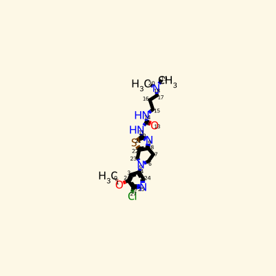 COc1cc(N2CCc3nc(NC(=O)NCCCN(C)C)sc3C2)cnc1Cl